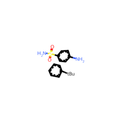 CC(C)(C)c1ccccc1.Nc1ccc(S(N)(=O)=O)cc1